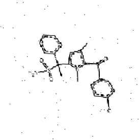 Cc1cc(C(C)(c2ccccc2)S(N)(=O)=O)n(C)c1C(=O)c1ccc(Cl)cc1